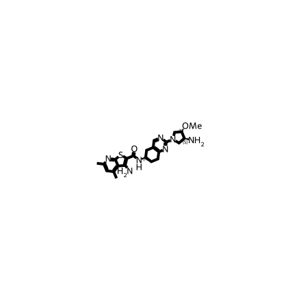 CO[C@H]1CN(c2ncc3c(n2)CC[C@@H](NC(=O)c2sc4nc(C)cc(C)c4c2N)C3)C[C@@H]1N